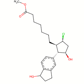 COC(=O)CCCCCC[C@@H]1[C@@H](c2ccc3c(c2)CCC3O)[C@H](O)C[C@@H]1Cl